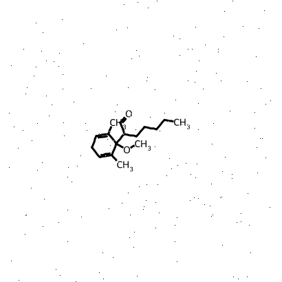 CCCCCC(C=O)C1(OC)C(C)=CCC=C1C